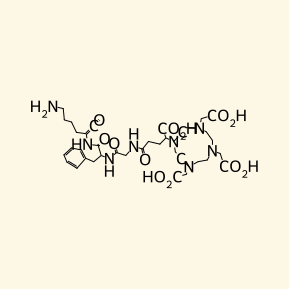 NCCCCC(=C=O)NC(=O)C(Cc1ccccc1)NC(=O)CNC(=O)CCC(C(=O)O)N1CCN(CC(=O)O)CCN(CC(=O)O)CCN(CC(=O)O)CC1